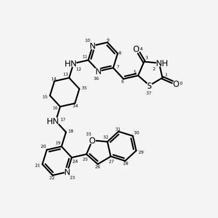 O=C1NC(=O)/C(=C\c2ccnc(NC3CCC(NCc4cccnc4-c4cc5ccccc5o4)CC3)n2)S1